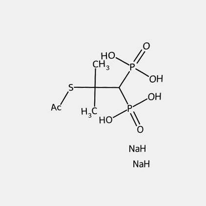 CC(=O)SC(C)(C)C(P(=O)(O)O)P(=O)(O)O.[NaH].[NaH]